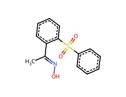 CC(=NO)c1ccccc1S(=O)(=O)c1ccccc1